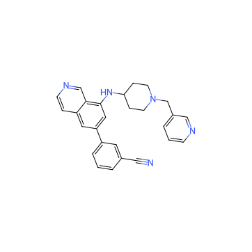 N#Cc1cccc(-c2cc(NC3CCN(Cc4cccnc4)CC3)c3cnccc3c2)c1